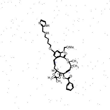 COCOc1cc(OCCCCNCc2ncc[nH]2)cc2c1C(=O)O[C@@H](C)[C@H](C)/C=C\C(OC(=O)c1ccccc1)[C@H]1OC(C)(C)O[C@H]1C/C=C/2